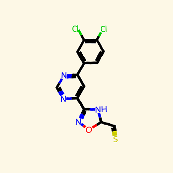 S=CC1NC(c2cc(-c3ccc(Cl)c(Cl)c3)ncn2)=NO1